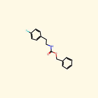 O=C(NCCc1ccc(F)cc1)OCc1ccccc1